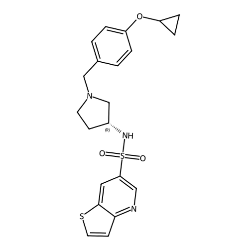 O=S(=O)(N[C@@H]1CCN(Cc2ccc(OC3CC3)cc2)C1)c1cnc2ccsc2c1